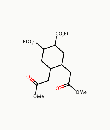 CCOC(=O)C1CC(CC(=O)OC)C(CC(=O)OC)CC1C(=O)OCC